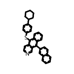 c1ccc2cc(-c3c4ccccc4c(Sc4ccc(C5CCCCC5)cc4)c4ccncc34)ccc2c1